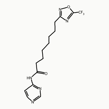 O=C(CCCCCCCc1noc(C(F)(F)F)n1)Nc1ccncn1